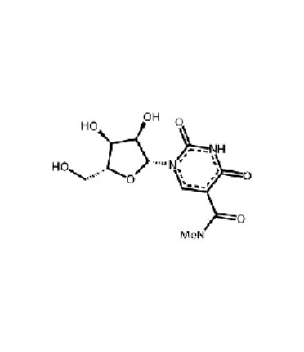 CNC(=O)c1cn([C@@H]2O[C@H](CO)[C@@H](O)[C@H]2O)c(=O)[nH]c1=O